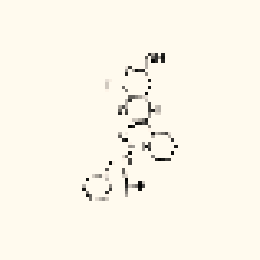 O=C(O)CC(NC(=O)C1CCCCN1C(=O)OCc1ccccc1C(F)(F)F)C(=O)CF